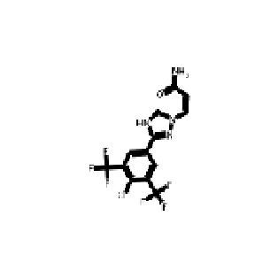 NC(=O)/C=C\N1CNC(c2cc(C(F)(F)F)c(Cl)c(C(F)(F)F)c2)=N1